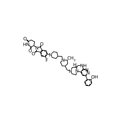 CC1CC(CN2CCN3c4cc(-c5ccccc5O)nnc4NC[C@H]3C2)CCN1CC1CCN(c2cc3c(cc2F)C(=O)N(C2CCC(=O)NC2=O)C3=O)CC1